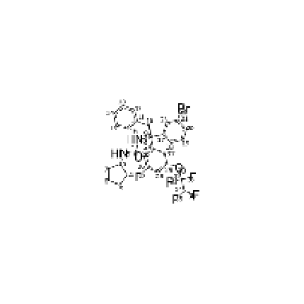 O=C(NC1CCCC1)N[C@](Cc1ccccc1)(c1cccc(Br)c1)c1cc(F)cc(OC(F)(F)C(F)F)c1